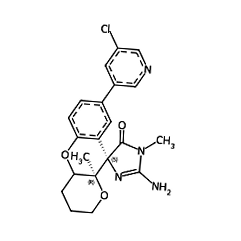 CN1C(=O)[C@]2(N=C1N)c1cc(-c3cncc(Cl)c3)ccc1OC1CCCO[C@@]12C